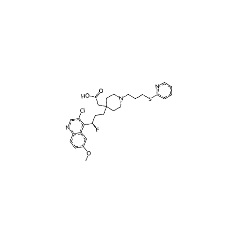 COc1ccc2ncc(Cl)c([C@H](F)CCC3(CC(=O)O)CCN(CCCSc4ccccn4)CC3)c2c1